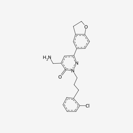 NCc1cc(-c2ccc3c(c2)CCO3)nn(CCCc2ccccc2Cl)c1=O